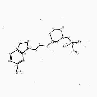 CC[N+](C)(CC)CC1CN(CCCN2CCc3ccc(N)cc32)CCO1